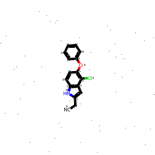 N#CCc1cc2c(Cl)c(Oc3ccccc3)ccc2[nH]1